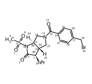 CCC[C@H]1C(=O)N(S(C)(=O)=O)[C@H]2CN(C(=O)c3ccc(CBr)cc3)C[C@H]12